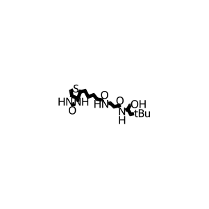 CC(C)(C)CC(CO)NC(=O)CCNC(=O)CCCCC1SCC2NC(=O)NC21